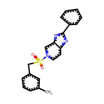 Cc1cccc(CS(=O)(=O)n2ccc3nc(-c4ccccc4)nc-3c2)c1